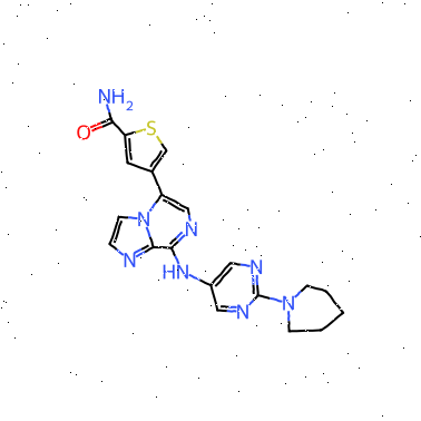 NC(=O)c1cc(-c2cnc(Nc3cnc(N4CCCCC4)nc3)c3nccn23)cs1